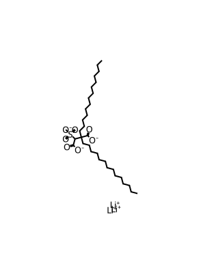 CCCCCCCCCCCCCCC(CCCCCCCCCCCCCC)(C(=O)[O-])C(C(=O)[O-])S(=O)(=O)[O-].[Li+].[Li+].[Li+]